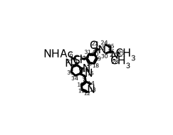 CC(=O)Nc1nc2c(s1)-c1c(c(-c3cccnc3)nn1-c1ccc(C(=O)N3CCC(N(C)C)C3)cc1Cl)CC2